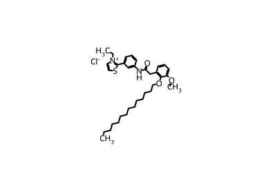 CCCCCCCCCCCCCCOc1c(CC(=O)Nc2cccc(-c3scc[n+]3CC)c2)cccc1OC.[Cl-]